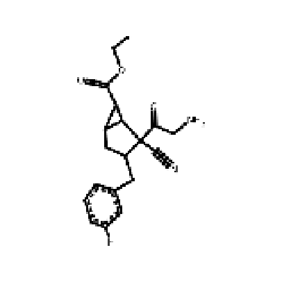 CCOC(=O)C1C2CC(Cc3cccc(F)c3)C(C#N)(C(=O)CN)C21